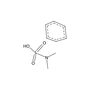 CN(C)S(=O)(=O)O.c1ccccc1